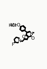 COc1ccc(-c2cn(C)c(=O)c3cc(CN4CCCC(F)C4)oc23)cc1.Cl